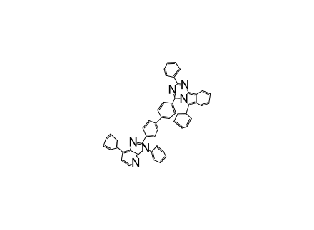 c1ccc(-c2nc(-c3ccc(-c4ccc(-c5nc6c(-c7ccccc7)ccnc6n5-c5ccccc5)cc4)cc3)n3c(-c4ccccc4)c4ccccc4c3n2)cc1